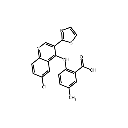 Cc1ccc(Nc2c(-c3nccs3)cnc3ccc(Cl)cc23)c(C(=O)O)c1